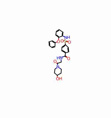 O=C(NCC(=O)N1CCC(O)CC1)c1ccc(S(=O)(=O)Nc2ccccc2Oc2ccccc2)cc1